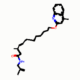 C=C(C)CNC(=O)C=C(C)C=CCCCCCCCOc1cc(C)c2ccccc2n1